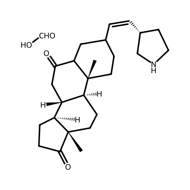 C[C@]12CCC(/C=C\[C@@H]3CCNC3)CC1C(=O)C[C@@H]1[C@@H]2CC[C@]2(C)C(=O)CC[C@@H]12.O=CO